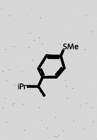 CSc1ccc(C(C)C(C)C)cc1